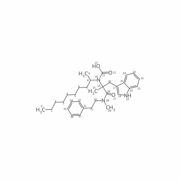 CCCCCCCCC(C)N(C(=O)O)C(C)(Cc1c[nH]c2ccccc12)C(=O)N(C)CCc1ccccc1